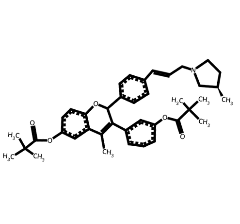 CC1=C(c2cccc(OC(=O)C(C)(C)C)c2)C(c2ccc(C=CCN3CC[C@@H](C)C3)cc2)Oc2ccc(OC(=O)C(C)(C)C)cc21